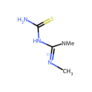 C/N=C(\NC)NC(N)=S